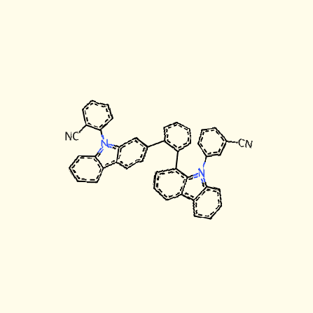 N#Cc1cccc(-n2c3ccccc3c3cccc(-c4ccccc4-c4ccc5c6ccccc6n(-c6ccccc6C#N)c5c4)c32)c1